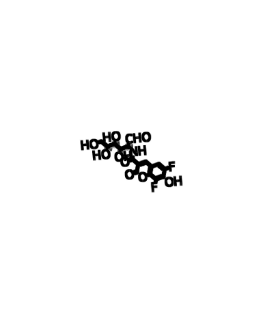 O=C[C@@H](NC(=O)c1cc2cc(F)c(O)c(F)c2oc1=O)[C@@H](O)[C@H](O)[C@H](O)CO